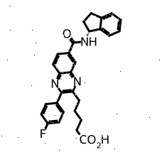 O=C(O)CCCCc1nc2cc(C(=O)N[C@@H]3CCc4ccccc43)ccc2nc1-c1ccc(F)cc1